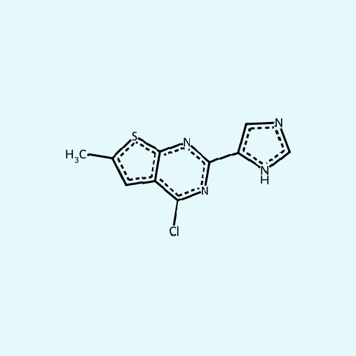 Cc1cc2c(Cl)nc(-c3cnc[nH]3)nc2s1